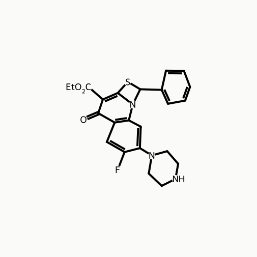 CCOC(=O)c1c2n(c3cc(N4CCNCC4)c(F)cc3c1=O)C(c1ccccc1)S2